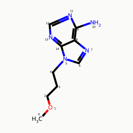 COCCCn1cnc2c(N)ncnc21